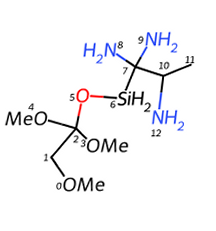 COCC(OC)(OC)O[SiH2]C(N)(N)C(C)N